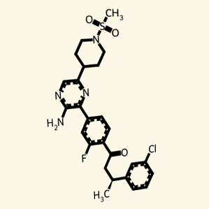 C[C@@H](CC(=O)c1ccc(-c2nc(C3CCN(S(C)(=O)=O)CC3)cnc2N)cc1F)c1cccc(Cl)c1